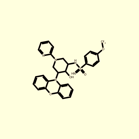 N=S(=O)(NC1CN(c2ccccn2)CC(N2c3ccccc3Oc3ccccc32)C1O)c1ccc(OC(F)(F)F)cc1